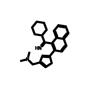 CN(C)CC1=CCC(c2ccc3ccccc3c2C(=N)C2CCCCC2)=C1